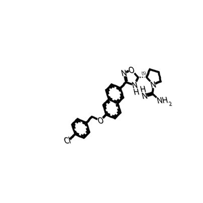 N=C(N)N1CCC[C@H]1C1NC(c2ccc3cc(OCc4ccc(Cl)cc4)ccc3c2)=NO1